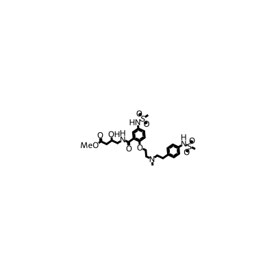 COC(=O)CC(O)CNC(=O)c1cc(NS(C)(=O)=O)ccc1OCCN(C)CCc1ccc(NS(C)(=O)=O)cc1